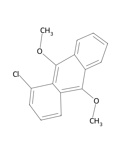 COc1c2ccccc2c(OC)c2c(Cl)cccc12